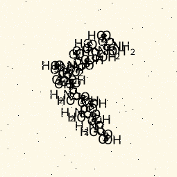 Nc1c(S(=O)(=O)O)cc(S(=O)(=O)O)c2cccc(O)c12.Nc1cc(S(=O)(=O)O)cc2c(S(=O)(=O)O)ccc(O)c12.Nc1cc(S(=O)(=O)O)cc2cc(S(=O)(=O)O)cc(O)c12.Nc1cc(S(=O)(=O)O)cc2cccc(O)c12.Nc1ccc(S(=O)(=O)O)c2cc(S(=O)(=O)O)cc(O)c12.Nc1ccc(S(=O)(=O)O)c2cccc(O)c12.Nc1cccc2cc(S(=O)(=O)O)cc(O)c12